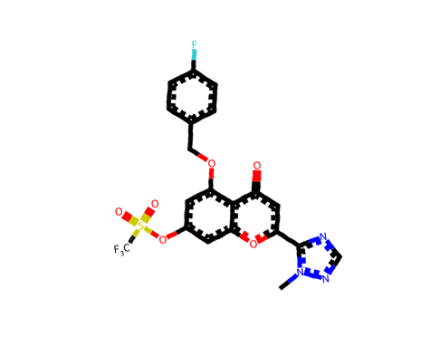 Cn1ncnc1-c1cc(=O)c2c(OCc3ccc(F)cc3)cc(OS(=O)(=O)C(F)(F)F)cc2o1